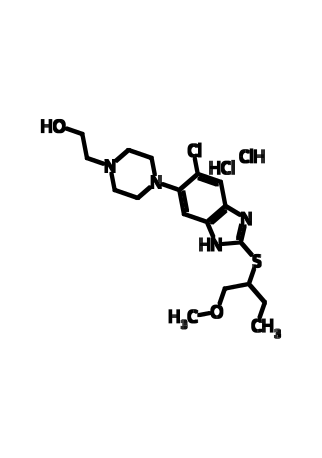 CCC(COC)Sc1nc2cc(Cl)c(N3CCN(CCO)CC3)cc2[nH]1.Cl.Cl